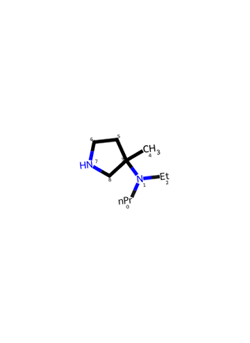 CCCN(CC)C1(C)CCNC1